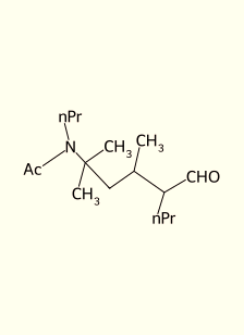 CCCC(C=O)C(C)CC(C)(C)N(CCC)C(C)=O